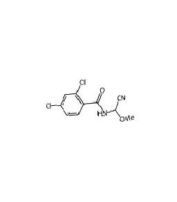 COC(C#N)NC(=O)c1ccc(Cl)cc1Cl